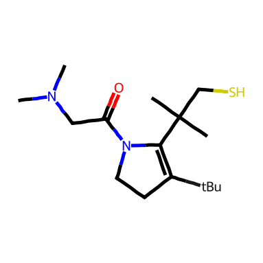 CN(C)CC(=O)N1CCC(C(C)(C)C)=C1C(C)(C)CS